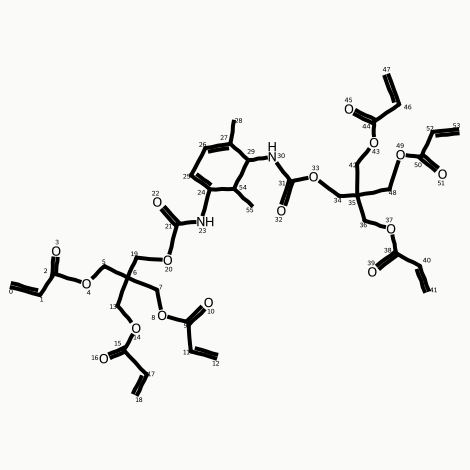 C=CC(=O)OCC(COC(=O)C=C)(COC(=O)C=C)COC(=O)NC1=CC=C(C)C(NC(=O)OCC(COC(=O)C=C)(COC(=O)C=C)COC(=O)C=C)C1C